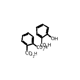 O=C(O)c1ccccc1C(=O)O.O=C(O)c1ccccc1O